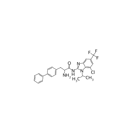 CC(C)n1c(NC(=O)C(N)Cc2ccc(-c3ccccc3)cc2)nc2cc(C(F)(F)F)cc(Cl)c21